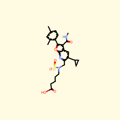 CNC(=O)c1c(-c2ccc(C)cc2C)oc2nc(CN(CCCCC(=O)O)[SH](=O)=O)c(C3CC3)cc12